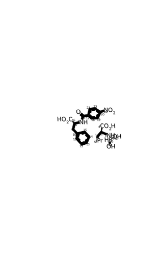 CC(C)C[C@H](N)C(=O)O.O=C(N[C@@H](Cc1ccccc1)C(=O)O)c1ccc([N+](=O)[O-])cc1.OBO